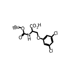 CC(C)(C)OC(=O)NC(COc1cc(Cl)cc(Cl)c1)C(=O)O